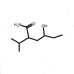 CCC(O)CC(C(N)=O)C(C)C